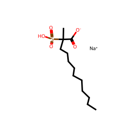 CCCCCCCCCCC(C)(C(=O)[O-])S(=O)(=O)O.[Na+]